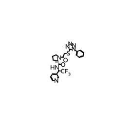 O=C(NC(c1cccnc1)C(F)(F)F)[C@@H]1CCCN1C(=O)CSc1nnnn1-c1ccccc1